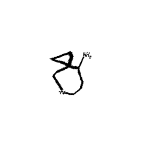 NC1CC[N]CC12CC2